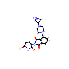 O=C1CCC(N2C(=O)c3cccc(N4CCN(C5CNC5)CC4)c3C2=O)C(=O)N1